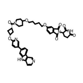 O=C1CCC(N2C(=O)c3ccc(OCCCCCOC4CCN(C(=O)[C@H]5C[C@@H](Oc6ccc(-c7ccc8c(c7)[nH]c7ccncc78)cn6)C5)CC4)cc3C2=O)C(=O)N1